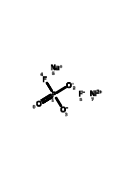 O=P([O-])([O-])F.[F-].[Na+].[Ni+2]